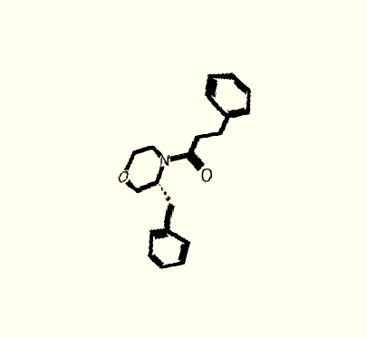 O=C(CCc1ccccc1)N1CCOC[C@H]1Cc1ccccc1